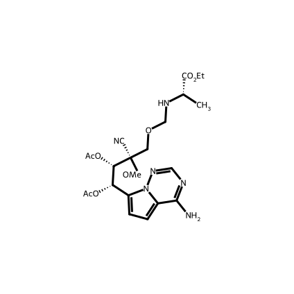 CCOC(=O)[C@H](C)NCOC[C@@](C#N)(OC)[C@@H](OC(C)=O)[C@@H](OC(C)=O)c1ccc2c(N)ncnn12